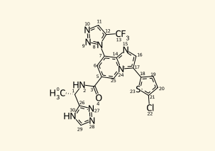 C[C@H](NC(=O)c1cc(-n2nncc2C(F)(F)F)c2ncc(-c3ccc(Cl)s3)n2c1)c1nnc[nH]1